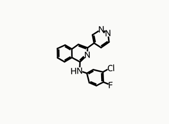 Fc1ccc(Nc2nc(-c3ccnnc3)cc3ccccc23)cc1Cl